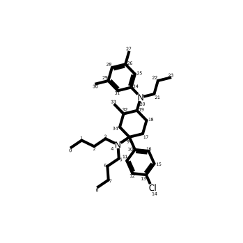 CCCCN(CCCC)C1(c2ccc(Cl)cc2)CCC(N(CCC)c2cc(C)cc(C)c2)C(C)C1